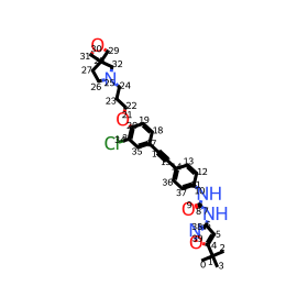 CC(C)(C)c1cc(NC(=O)Nc2ccc(C#Cc3ccc(OCCCN4CCC5(COC5)C4)c(Cl)c3)cc2)no1